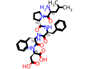 CC(C)C[C@H](N)C(=O)N1CCC[C@H]1C(=O)N[C@@H](Cc1ccccc1)C(=O)N[C@@H](Cc1ccccc1)C(=O)N[C@H](CC(=O)O)C(=O)O